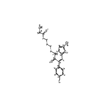 O=C(CCCCCNC(=O)C(=Cc1ccc(Cl)o1)c1ccc(F)cc1)NO